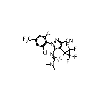 CN(C)C=Nc1c(C2(C(F)(F)F)C(F)(F)C2(F)F)c(C#N)nn1-c1c(Cl)cc(C(F)(F)F)cc1Cl